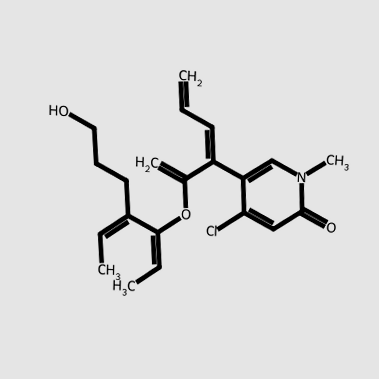 C=C/C=C(\C(=C)OC(=C/C)/C(=C\C)CCCO)c1cn(C)c(=O)cc1Cl